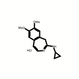 COc1cc2c(cc1OC)CC(NC1CC1)=NC=C2.Cl